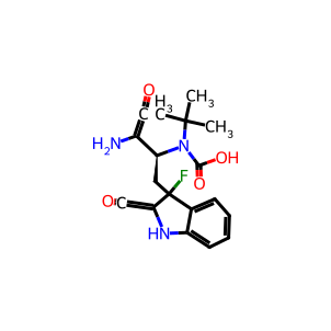 CC(C)(C)N(C(=O)O)[C@@H](CC1(F)C(=C=O)Nc2ccccc21)C(N)=C=O